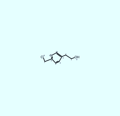 OCCc1ccc(CCl)nc1